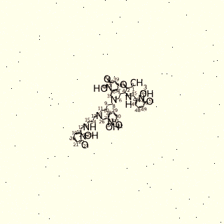 CCC(=O)C(CCN(CCCCN(CCCNCc1cccc(=O)n1O)Cc1cccc(=O)n1O)Cc1cccc(=O)n1O)NCc1cccc(=O)n1O